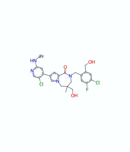 CC(C)Nc1cc(-c2cc3n(c2)CC(C)(CO)CN(Cc2cc(F)c(Cl)cc2CO)C3=O)c(Cl)cn1